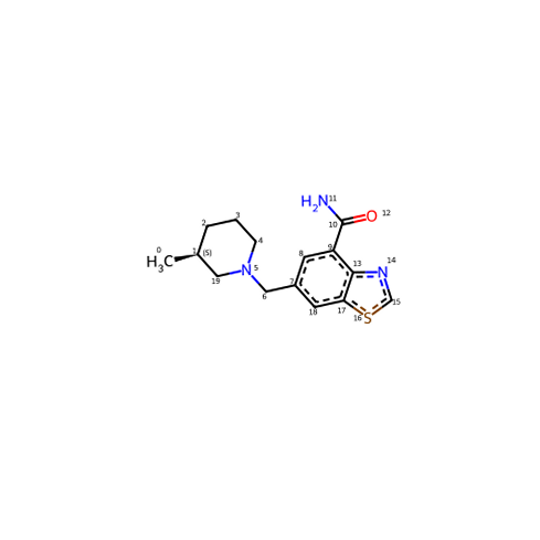 C[C@H]1CCCN(Cc2cc(C(N)=O)c3ncsc3c2)C1